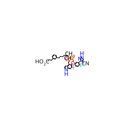 CC(C)(CCCCc1cccc(CCC(=O)O)c1)CS(=O)(=O)CCc1c(Oc2ccc(F)c(-c3n[nH]cc3C#N)c2)c(F)cc2[nH]ccc12